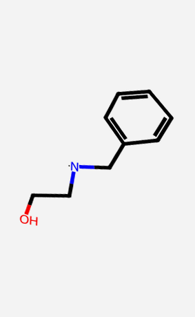 OCC[N]Cc1ccccc1